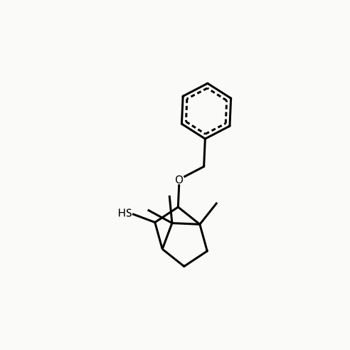 CC1(C)C2CCC1(C)C(OCc1ccccc1)C2S